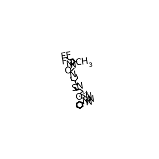 Cc1cc(C(F)(F)F)nn1CC(=O)N1CCC(c2nc(C[S+]([O-])c3nnnn3-c3ccccc3)cs2)CC1